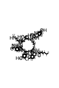 CCCCCC(=O)N[C@@H](Cc1ccc(Cl)cc1)C(=O)N[C@@H]1CSSC[C@@H](C(=O)N[C@H](Cc2ccc(O)cc2)C(N)=O)NC(=O)C(C(C)O)NC(=O)[C@H](CCCCNC)NC(=O)[C@@H](Cc2ccc(C(N)=O)cc2)NC(=O)[C@H](Cc2ccc(O)cc2)NC1=O